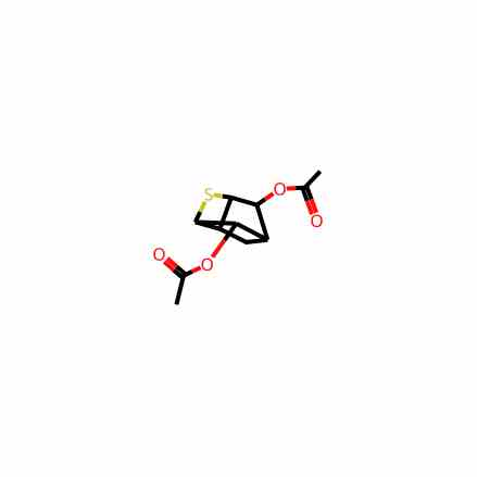 CC(=O)OC1C2CC3C1SC3C2OC(C)=O